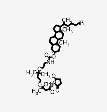 CC(C)CCCC(C)C1CCC2C3CC=C4C[C@@H](OC(=O)NCCOC(C)(C)CCOC(C)(C)CC(=O)ON5C(=O)CCC5=O)CC[C@]4(C)C3CC[C@]12C